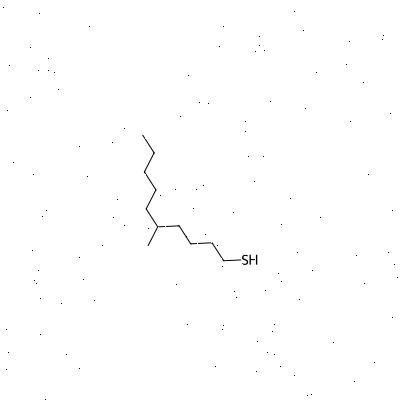 CCCCCC(C)CCCCS